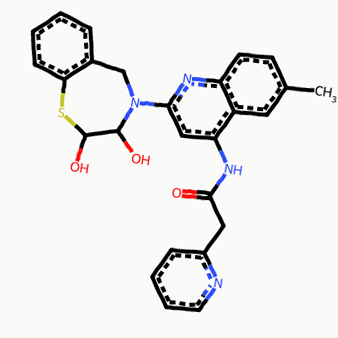 Cc1ccc2nc(N3Cc4ccccc4SC(O)C3O)cc(NC(=O)Cc3ccccn3)c2c1